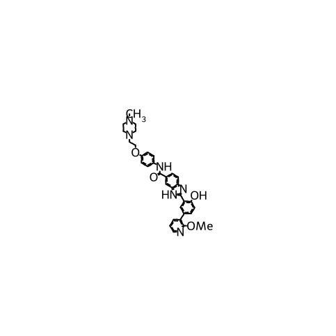 COc1ncccc1-c1ccc(O)c(-c2nc3ccc(C(=O)Nc4ccc(OCCN5CCN(C)CC5)cc4)cc3[nH]2)c1